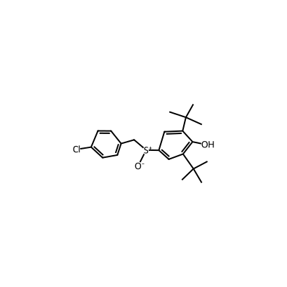 CC(C)(C)c1cc([S+]([O-])Cc2ccc(Cl)cc2)cc(C(C)(C)C)c1O